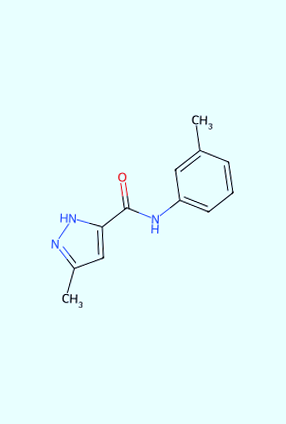 Cc1cccc(NC(=O)c2cc(C)n[nH]2)c1